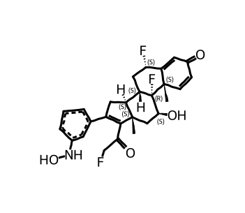 C[C@]12C=CC(=O)C=C1[C@@H](F)C[C@H]1[C@@H]3CC(c4cccc(NO)c4)=C(C(=O)CF)[C@@]3(C)C[C@H](O)[C@@]12F